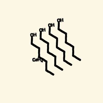 CCCCCCO.CCCCCCO.CCCCCCO.CCCCCCO.[GeH4]